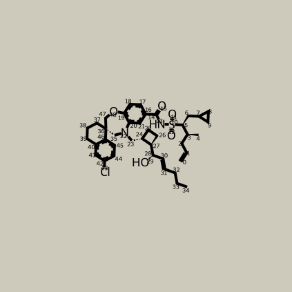 C=CC[C@H](C)[C@H](CC1CC1)S(=O)(=O)NC(=O)c1ccc2c(c1)N(C[C@@H]1CC[C@H]1[C@@H](O)C=CCCC)C[C@]1(CCCc3cc(Cl)ccc31)CO2